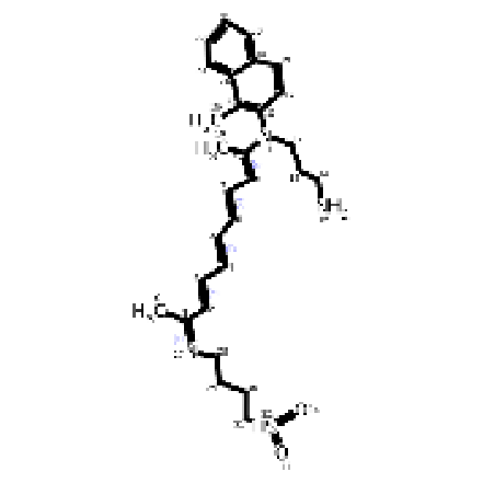 CC(/C=C/C=C/C=C/C=C(\C)N(CCCN)c1ccc2ccccc2c1C)=N/CCCC[SH](=O)=O